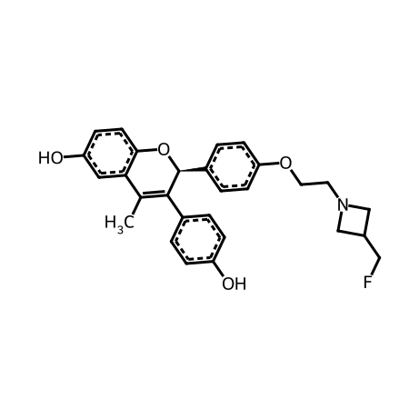 CC1=C(c2ccc(O)cc2)[C@H](c2ccc(OCCN3CC(CF)C3)cc2)Oc2ccc(O)cc21